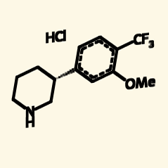 COc1cc([C@H]2CCCNC2)ccc1C(F)(F)F.Cl